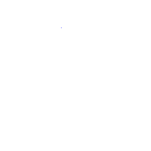 O=C1NN=C(c2ccc(N3CCC4(CCOC4)C3)c(C(F)(F)F)c2)CO1